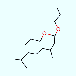 CCCOC(CC(C)CCCC(C)C)OCCC